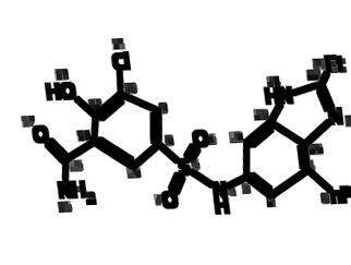 CCCc1cc(NS(=O)(=O)c2cc(Cl)c(O)c(C(N)=O)c2)cc2[nH]c(CC)nc12